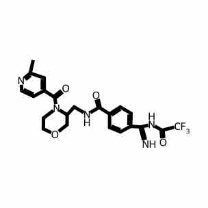 Cc1cc(C(=O)N2CCOCC2CNC(=O)c2ccc(C(=N)NC(=O)C(F)(F)F)cc2)ccn1